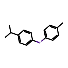 Cc1ccc([I+]c2ccc(C(C)C)cc2)cc1